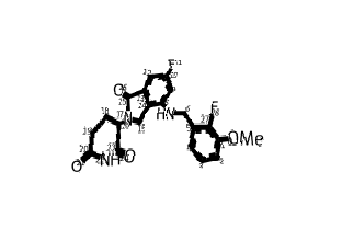 COc1cccc(CNc2cc(F)cc3c2CN([C@@H]2CCC(=O)NC2=O)C3=O)c1F